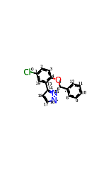 Clc1ccc(OCc2ccccc2)c(C2=N[N]C=C2)c1